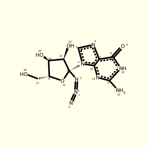 [N-]=[N+]=N[C@@]1(n2cnc3c(=O)[nH]c(N)nc32)O[C@H](CO)[C@@H](O)[C@H]1O